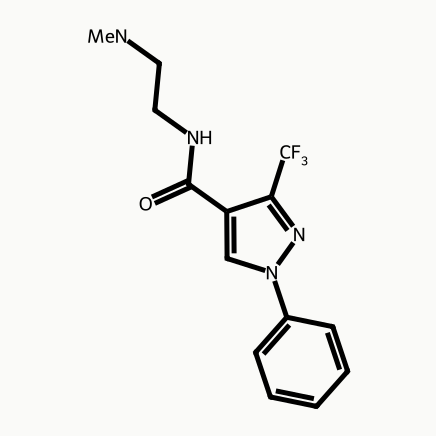 CNCCNC(=O)c1cn(-c2ccccc2)nc1C(F)(F)F